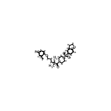 CC(C)(CCCOc1ccc(F)cc1F)C(=O)N1CCN(S(=O)(=O)c2ccc3c(c2)CCO3)CC1